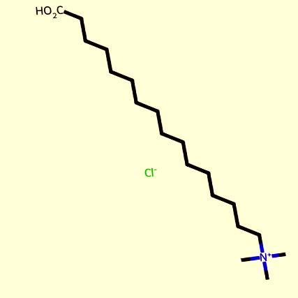 C[N+](C)(C)CCCCCCCCCCCCCCCC(=O)O.[Cl-]